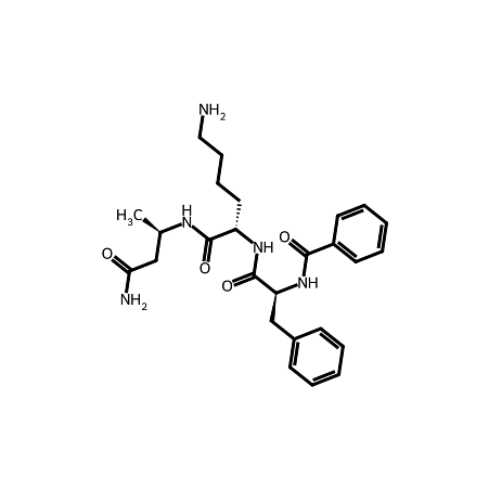 C[C@H](CC(N)=O)NC(=O)[C@H](CCCCN)NC(=O)[C@H](Cc1ccccc1)NC(=O)c1ccccc1